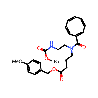 COc1ccc(COC(=O)CCCN(CCNC(=O)OC(C)(C)C)C(=O)C2=CC=CC=CC=C2)cc1